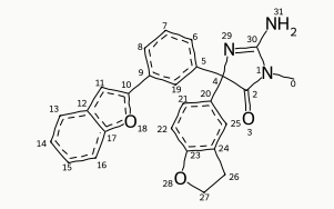 CN1C(=O)C(c2cccc(-c3cc4ccccc4o3)c2)(c2ccc3c(c2)CCO3)N=C1N